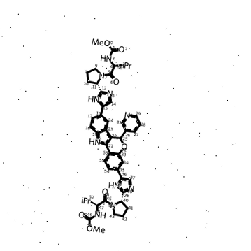 COC(=O)NC(C(=O)N1CCC[C@H]1c1ncc(-c2ccc3[nH]c4c(c3c2)C(c2cccnc2)Oc2cc(-c3cnc([C@@H]5CCCN5C(=O)[C@@H](NC(=O)OC)C(C)C)[nH]3)ccc2-4)[nH]1)C(C)C